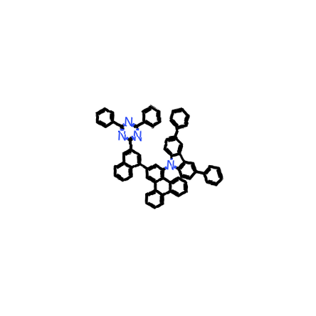 c1ccc(-c2ccc3c(c2)c2cc(-c4ccccc4)ccc2n3-c2cc(-c3cc(-c4nc(-c5ccccc5)nc(-c5ccccc5)n4)cc4ccccc34)cc3c4ccccc4c4ccccc4c23)cc1